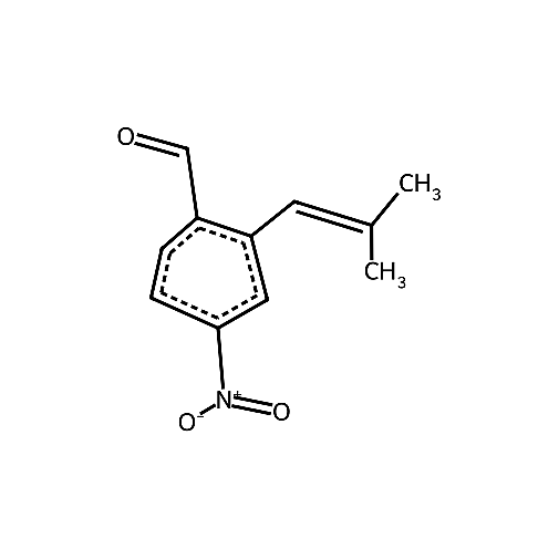 CC(C)=Cc1cc([N+](=O)[O-])ccc1C=O